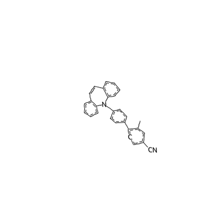 Cc1cc(C#N)ccc1-c1ccc(N2c3ccccc3C=Cc3ccccc32)cc1